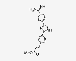 COC(=O)C=Cc1ccc(-c2nc(-c3ccc(C(=N)N)cc3)c[nH]2)cc1